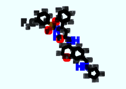 O=C(C[C@@H](NS(=O)(=O)c1cccc(C(F)(F)F)c1)c1ccccc1)N[C@@H]1CCOc2cc(CNC3CCCC3)ccc21